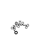 COC(=O)CCC(=O)CNC(=O)N1CCC[C@@H]1OC(C)C(=O)OCc1ccccc1